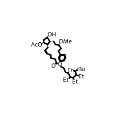 CCC(C)C(CC)C(CC)C(CC)C(CC)CCCCOC(=O)CCC/C=C\C[C@@H]1[C@@H](CC[C@H](CCc2ccccc2)OC)[C@H](O)C[C@@H]1OC(C)=O